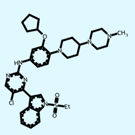 CCS(=O)(=O)n1cc(-c2nc(Nc3ccc(N4CCC(N5CCN(C)CC5)CC4)c(OC4CCCC4)c3)ncc2Cl)c2ccccc21